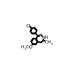 COc1ccc2c(c1)CC(C)NN=C2c1ccc(Cl)cc1